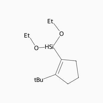 CCO[SiH](OCC)C1=C(C(C)(C)C)CCC1